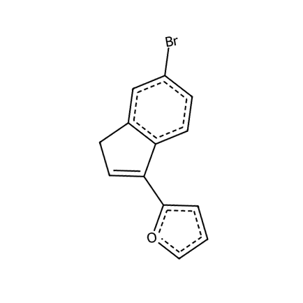 Brc1ccc2c(c1)CC=C2c1ccco1